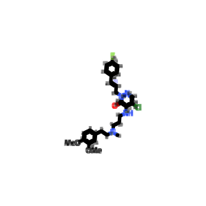 COc1ccc(CCN(C)CCCNc2c(Cl)cnn(C/C=C/c3ccc(F)cc3)c2=O)cc1OC